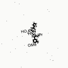 COc1ccc(-c2nc(Nc3ncc(-c4cccs4)nc3C(=O)O)sc2CC(C)C)cc1F